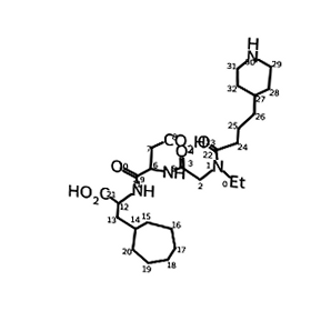 CCN(CC(=O)NC(CC(=O)O)C(=O)NC(CC1CCCCCC1)C(=O)O)C(=O)CCCC1CCNCC1